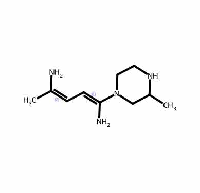 C/C(N)=C/C=C(\N)N1CCNC(C)C1